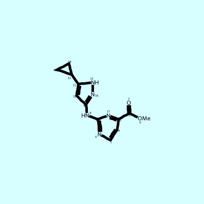 COC(=O)c1ccnc(Nc2cc(C3CC3)[nH]n2)n1